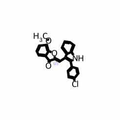 COc1cccc2c1O/C(=C\c1c(-c3ccc(Cl)cc3)[nH]c3ccccc13)C2=O